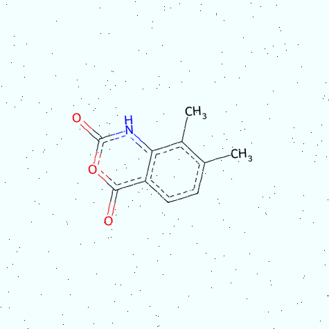 Cc1ccc2c(=O)oc(=O)[nH]c2c1C